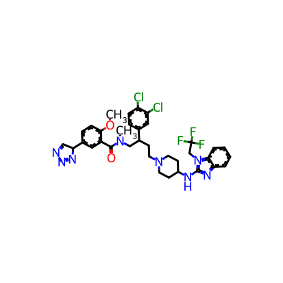 COc1ccc(C2C=NN=N2)cc1C(=O)N(C)CC(CCN1CCC(Nc2nc3ccccc3n2CC(F)(F)F)CC1)c1ccc(Cl)c(Cl)c1